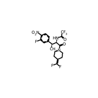 C[C@@H](c1ccc([N+](=O)[O-])c(F)c1)[C@@H](NC(=O)C(F)(F)F)C(=O)N1CCC(=C(F)F)CC1